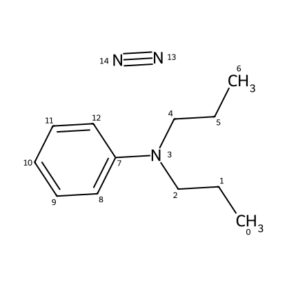 CCCN(CCC)c1ccccc1.N#N